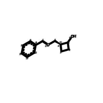 OC1CC[C@H]1COCc1ccccc1